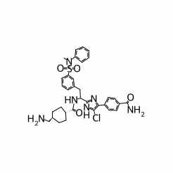 CN(c1ccccc1)S(=O)(=O)c1cccc(CC(NC(=O)[C@H]2CC[C@H](CN)CC2)c2nc(-c3ccc(C(N)=O)cc3)c(Cl)[nH]2)c1